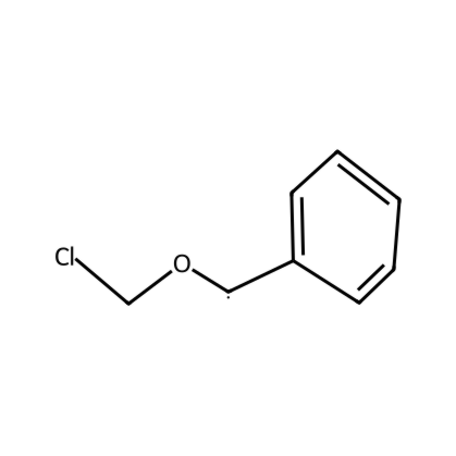 ClCO[CH]c1ccccc1